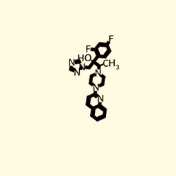 C[C@@H](N1CCN(c2ccc3ccccc3n2)CC1)[C@](O)(Cn1cncn1)c1ccc(F)cc1F